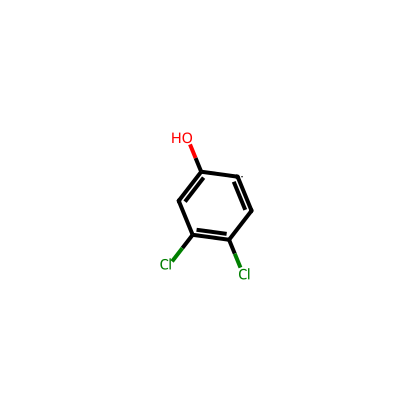 Oc1[c]cc(Cl)c(Cl)c1